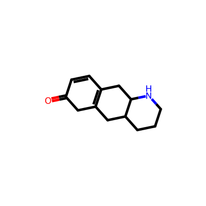 O=C1C=CC2=C(C1)CC1CCCNC1C2